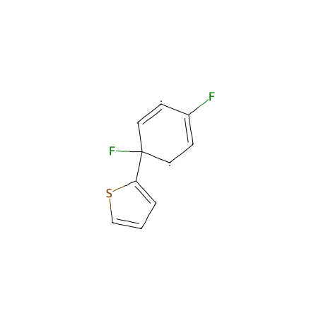 FC1=C[CH]C(F)(c2cccs2)C=[C]1